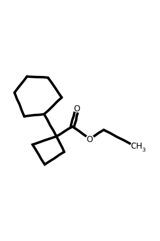 CCOC(=O)C1(C2CCCCC2)CCC1